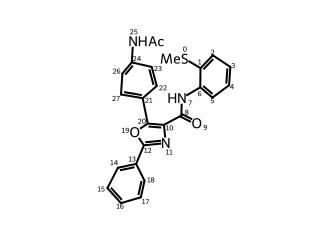 CSc1ccccc1NC(=O)c1nc(-c2ccccc2)oc1-c1ccc(NC(C)=O)cc1